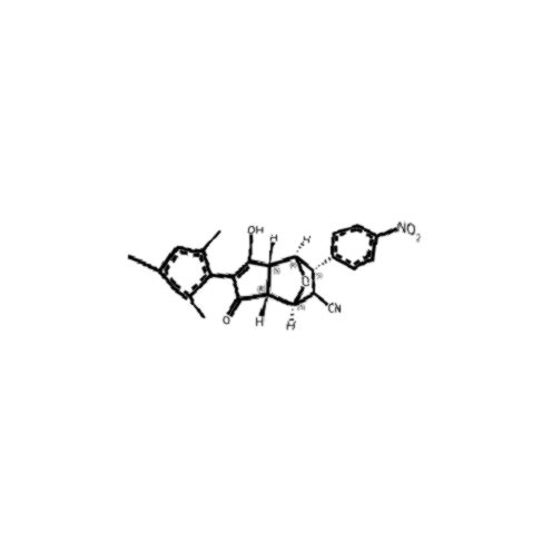 Cc1cc(C)c(C2=C(O)[C@@H]3[C@@H]4O[C@@H](C(C#N)[C@H]4c4ccc([N+](=O)[O-])cc4)[C@@H]3C2=O)c(C)c1